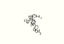 CNc1cn2cc(C34CCC(C)(C3)OC4)nc2c(OC2CCC2)n1